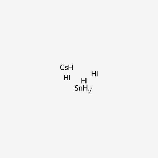 I.I.I.[CsH].[SnH2]